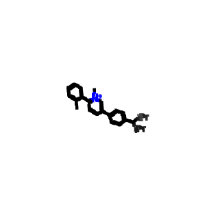 Cc1ccccc1-c1ccc(-c2ccc(C(C(C)C)C(C)C)cc2)c[n+]1C